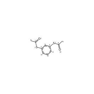 CC(=O)Sc1[c]c(SC(C)=O)ccc1